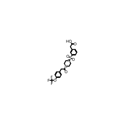 O=C(O)Cc1cccc(S(=O)(=O)N2CCN(C(=O)Cc3ccc(OC(F)(F)F)cc3)CC2)c1